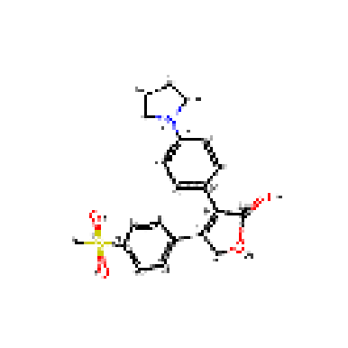 CS(=O)(=O)c1ccc(C2=C(c3ccc(N4CCCC4)cc3)C(=O)OC2)cc1